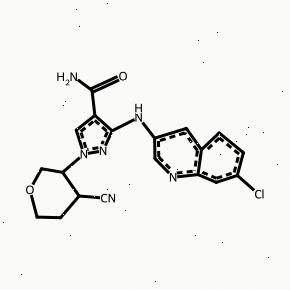 N#CC1CCOCC1n1cc(C(N)=O)c(Nc2cnc3cc(Cl)ccc3c2)n1